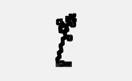 CCCCCCCCCCCCCCCCCC(=O)c1ccc(Cl)c(C2=NC(C)(C)CO2)c1